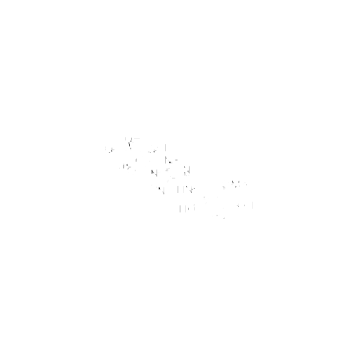 COc1c(O)ccc(O)c1CNc1ncnc2c1ncn2C1O[C@H](CO)[C@@H](O)[C@H]1O